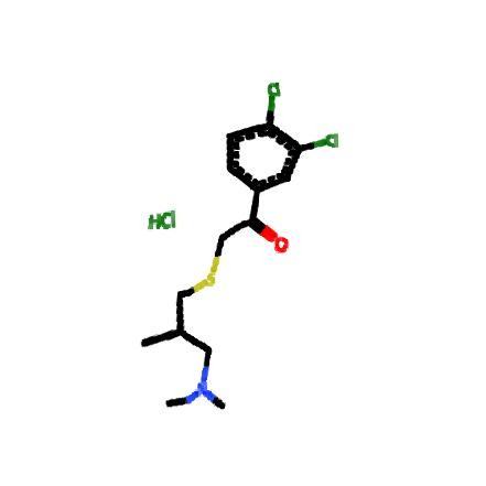 CC(CSCC(=O)c1ccc(Cl)c(Cl)c1)CN(C)C.Cl